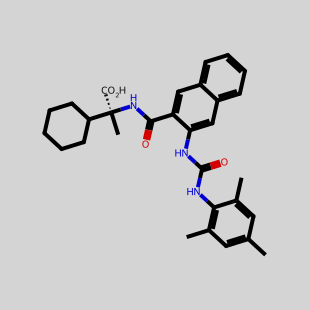 Cc1cc(C)c(NC(=O)Nc2cc3ccccc3cc2C(=O)N[C@](C)(C(=O)O)C2CCCCC2)c(C)c1